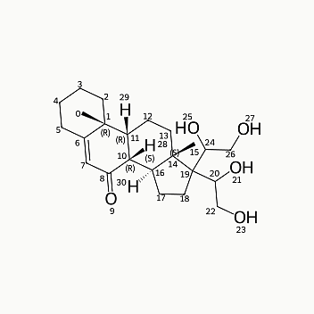 C[C@]12CCCCC1=CC(=O)[C@@H]1[C@H]2CC[C@@]2(C)[C@H]1CCC2(C(O)CO)C(O)CO